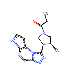 CC[C@@H]1CN(C(=O)CC#N)C[C@@H]1c1nnc2cnc3[nH]ccc3n12